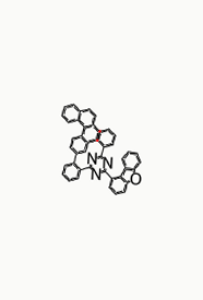 c1ccc(-c2nc(-c3ccccc3-c3ccc4c(ccc5ccc6ccccc6c54)c3)nc(-c3cccc4oc5ccccc5c34)n2)cc1